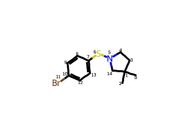 CC1(C)CCN(Sc2ccc(Br)cc2)C1